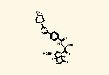 C#C[C@@H]1CN(C(=O)[C@@H](NC(=O)c2ccc(-c3csc(N4CCN(C)CC4)n3)cc2)[C@H](C)CC)[C@@H]2C(=O)CO[C@H]12